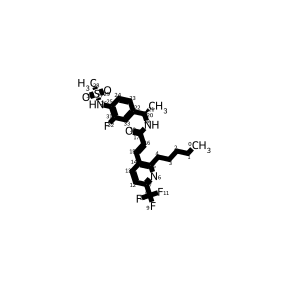 CCCCCc1nc(C(F)(F)F)ccc1C=CC(=O)N[C@H](C)c1ccc(NS(C)(=O)=O)c(F)c1